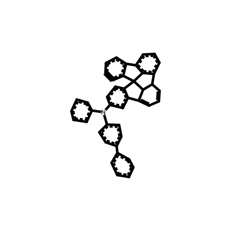 c1ccc2c(c#1)C13c4ccc(N(c5ccccc5)c5ccc(-c6ccccc6)cc5)cc4C4=CC=CC(c5cccc-2c51)C43